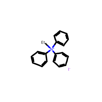 CC[N+](c1ccccc1)(c1ccccc1)c1ccccc1.[I-]